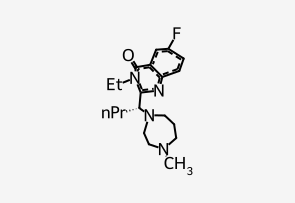 CCC[C@H](c1nc2ccc(F)cc2c(=O)n1CC)N1CCCN(C)CC1